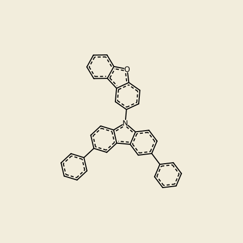 c1ccc(-c2ccc3c(c2)c2cc(-c4ccccc4)ccc2n3-c2ccc3oc4ccccc4c3c2)cc1